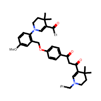 CCC(=O)C1=CN(c2ccc(OC)cc2COc2ccc(C(=O)CC(=O)C3=CN(CC(C)C)CCC3(C)C)cc2)CCC1(C)C